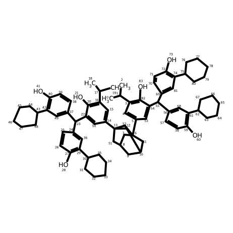 CC(C)c1cc(C23CC4CC(C2)CC(c2cc(C(C)C)c(O)c(C(c5ccc(O)c(C6CCCCC6)c5)c5ccc(O)c(C6CCCCC6)c5)c2)(C4)C3)cc(C(c2ccc(O)c(C3CCCCC3)c2)c2ccc(O)c(C3CCCCC3)c2)c1O